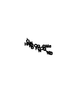 COc1cc2c(Oc3ccc(-c4cnc(Nc5ccc(C)cc5)n(C)c4=O)cc3F)ccnc2cc1OCCCN1CCOCC1